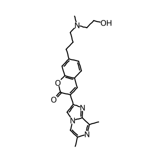 Cc1cn2cc(-c3cc4ccc(CCCN(C)CCO)cc4oc3=O)nc2c(C)n1